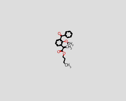 C=C(C(=O)OCCCC)c1cccc(C(=O)c2ccccc2)c1OC